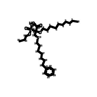 CCCCCCCCCCOC(CSCCCCCCCc1ccccc1)(C(=O)O)P(=O)(O)OCCC